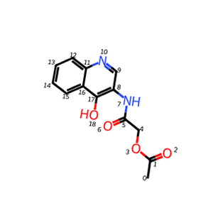 CC(=O)OCC(=O)Nc1cnc2ccccc2c1O